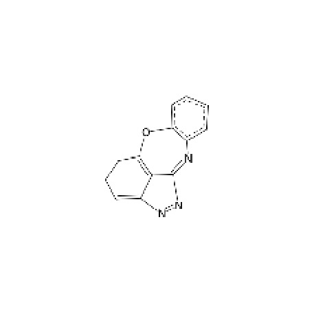 C1=C2N=NC3=Nc4ccccc4OC(=C23)CC1